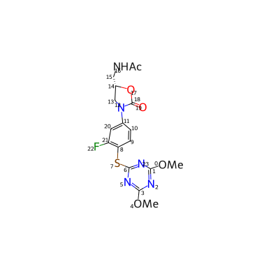 COc1nc(OC)nc(Sc2ccc(N3C[C@H](CNC(C)=O)OC3=O)cc2F)n1